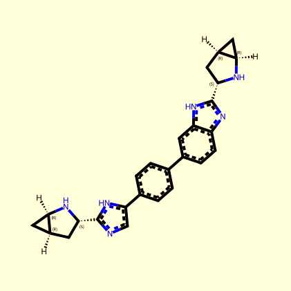 c1cc(-c2cnc([C@@H]3C[C@H]4C[C@H]4N3)[nH]2)ccc1-c1ccc2nc([C@@H]3C[C@H]4C[C@H]4N3)[nH]c2c1